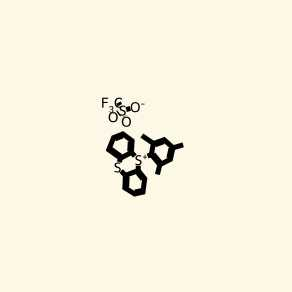 Cc1cc(C)c([S+]2c3ccccc3Sc3ccccc32)c(C)c1.O=S(=O)([O-])C(F)(F)F